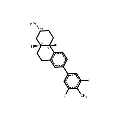 CCC[C@@H]1CC[C@@H]2c3ccc(-c4cc(F)c(C(F)(F)F)c(F)c4)cc3CC[C@@H]2C1